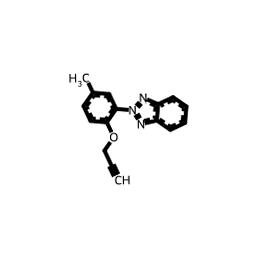 C#CCOc1ccc(C)cc1-n1nc2ccccc2n1